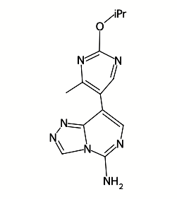 Cc1nc(OC(C)C)ncc1-c1cnc(N)n2cnnc12